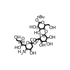 CCCCO[C@@H]1OC(CO)[C@@H](O[C@@H]2OC(CO[C@]3(C(=O)O)C[C@@H](O)[C@@H](N)C([C@H](O)[C@H](O)CO)O3)[C@H](O)C(O)[C@@H]2O)C(O)[C@@H]1O